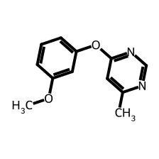 COc1cccc(Oc2cc(C)ncn2)c1